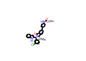 COc1ccc(Cl)cc1C(c1cc2ccccc2[nH]1)N1Cc2ccc(-c3ccc(NC(=O)OC(C)(C)C)cc3)cc2C1=O